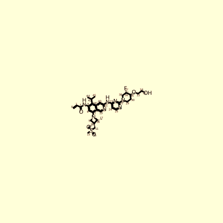 C=CC(=O)Nc1cc(N2C[C@H](CS(C)(=O)=O)[C@H]2C)c2cnc(Nc3ccnc(N4CC[C@@H](OCCO)[C@@H](F)C4)n3)cc2c1C(C)C